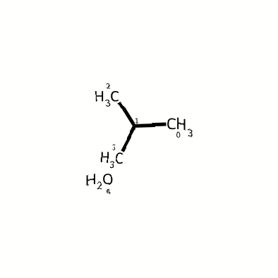 C[C](C)C.O